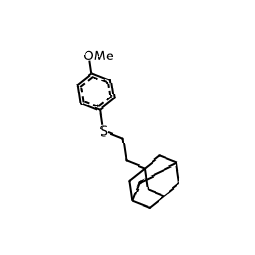 COc1ccc(SCCC23CC4CC(CC(C4)C2)C3)cc1